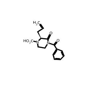 C=CC[C@H]1C(=O)N(C(=O)c2ccccc2)CCN1C(=O)O